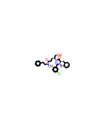 CN(CCc1ccccc1)C(=O)CC[C@@H](CO)NC(=O)[C@H](CC1CCCCC1)N(Cc1cccc(Cl)c1)C(=O)O